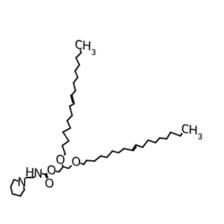 CCCCCCCCC=CCCCCCCCCOCC(COC(=O)NCCN1CCCCC1)OCCCCCCCCC=CCCCCCCCC